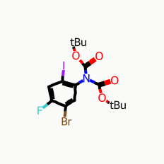 CC(C)(C)OC(=O)N(C(=O)OC(C)(C)C)c1cc(Br)c(F)cc1I